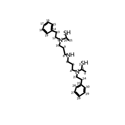 CC(S)N(CCCNCCCN(CCc1ccccc1)C(C)S)CCc1ccccc1